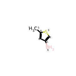 Bc1csc(C)c1